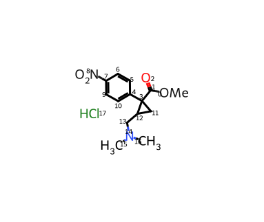 COC(=O)C1(c2ccc([N+](=O)[O-])cc2)CC1CN(C)C.Cl